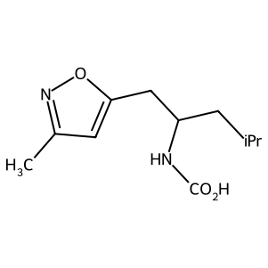 Cc1cc(CC(CC(C)C)NC(=O)O)on1